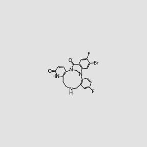 O=C1c2cc(F)c(Br)cc2N2CN1c1ccc(=O)[nH]c1CCNCc1cc(F)ccc12